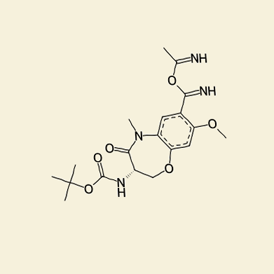 COc1cc2c(cc1C(=N)OC(C)=N)N(C)C(=O)[C@@H](NC(=O)OC(C)(C)C)CO2